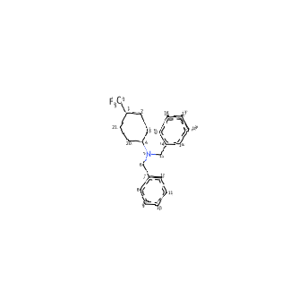 FC(F)(F)C1CCC(N(Cc2ccccc2)Cc2ccccc2)CC1